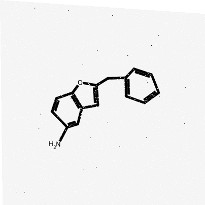 Nc1ccc2oc(Cc3ccccc3)cc2c1